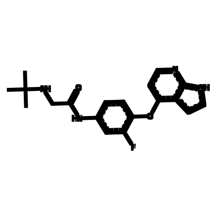 CC(C)(C)NCC(=O)Nc1ccc(Oc2ccnc3[nH]ccc23)c(F)c1